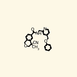 C[C@@]1(C#N)COCc2ccc(C(=O)NCc3cc(COc4ccccc4)ccn3)cc21